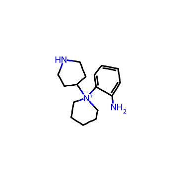 Nc1ccccc1[N+]1(C2CCNCC2)CCCCC1